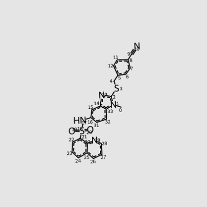 Cn1c(SCc2ccc(C#N)cc2)nc2cc(NS(=O)(=O)c3cccc4cccnc34)ccc21